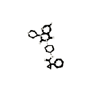 O=C(N[C@H]1CC[C@@H](n2c(=O)c3cc(F)cnc3n(C3CCSCC3)c2=O)CC1)C1(c2ccccc2)CC1